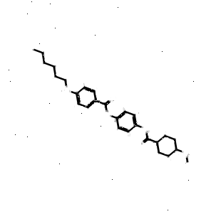 CCCCCCOc1ccc(C(=O)Oc2ccc(OC(=O)C3CCC(OC)CC3)cc2)cc1